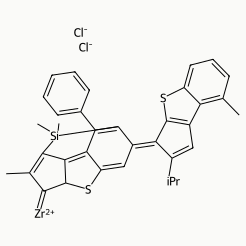 CC1=C2C3=c4c(cc(=C5C(C(C)C)=Cc6c5sc5cccc(C)c65)c(c4-c4ccccc4)[Si]2(C)C)SC3[C]1=[Zr+2].[Cl-].[Cl-]